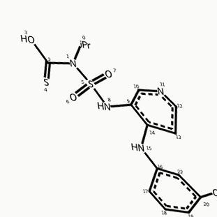 CC(C)N(C(O)=S)S(=O)(=O)Nc1cnccc1Nc1cccc(Cl)c1